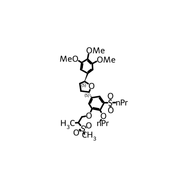 CCCOc1c(OCC(C)S(C)(=O)=O)cc([C@@H]2CC[C@@H](c3cc(OC)c(OC)c(OC)c3)O2)cc1S(=O)(=O)CCC